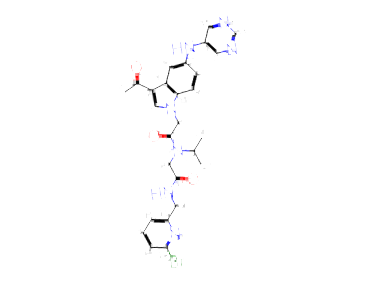 CC(=O)c1cn(CC(=O)N(CC(=O)NCc2cccc(Br)n2)C(C)C)c2ccc(Nc3cncnc3)cc12